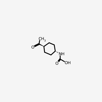 CC(=O)[C@H]1CC[C@H](NC(=O)O)CC1